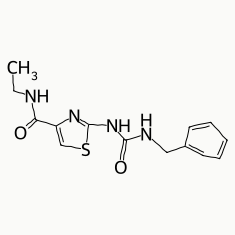 CCNC(=O)c1csc(NC(=O)NCc2ccccc2)n1